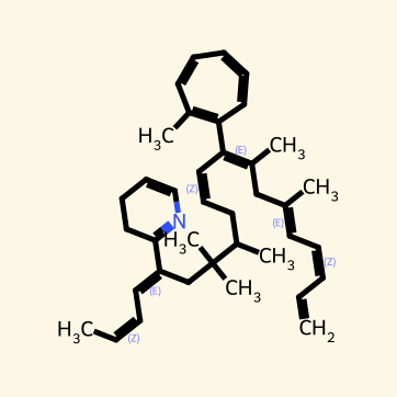 C=C/C=C\C=C(/C)C/C(C)=C(\C=C/CC(C)C(C)(C)C/C(=C\C=C/C)C1=NC=CCC1)C1=C(C)C=CC=C=C1